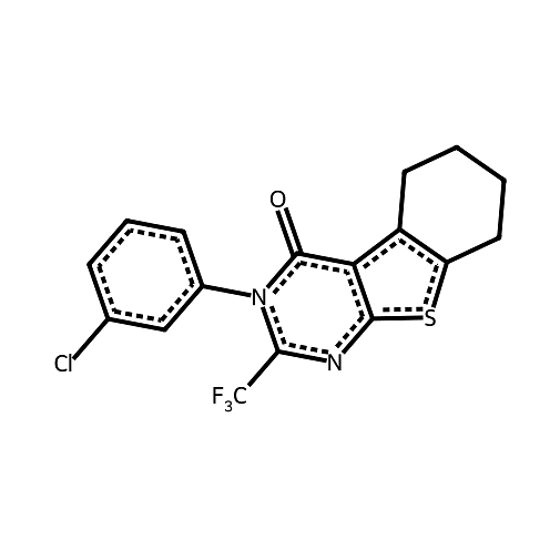 O=c1c2c3c(sc2nc(C(F)(F)F)n1-c1cccc(Cl)c1)CCCC3